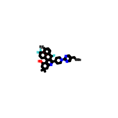 COCc1cnc(N2CCC(c3nc4c(c(C5CCC(F)(F)CC5)c3C(F)c3ccc(C(F)(F)F)cc3)C(O)CC(C)(C)C4)CC2)nc1